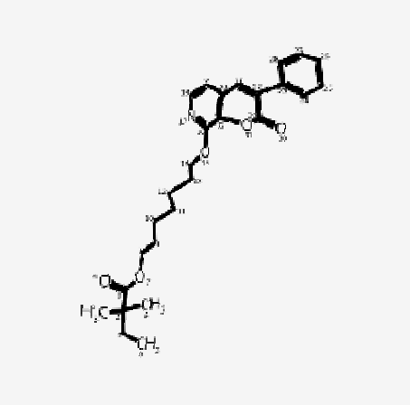 CCC(C)(C)C(=O)OCCCCCCCOc1nccc2cc(-c3ccccc3)c(=O)oc12